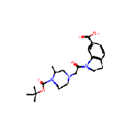 CC1CN(CC(=O)N2CCc3ccc(C(=O)O)cc32)CCN1C(=O)OC(C)(C)C